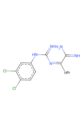 CCCC(=NC(=N)Nc1ccc(Cl)c(Cl)c1)C(=N)N